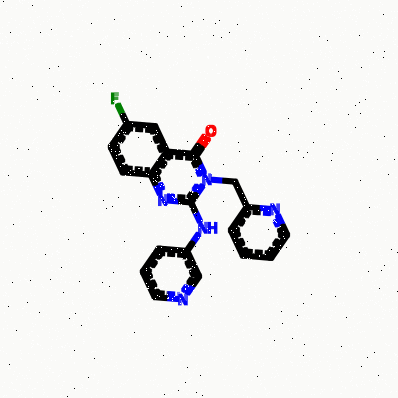 O=c1c2cc(F)ccc2nc(Nc2cccnc2)n1Cc1ccccn1